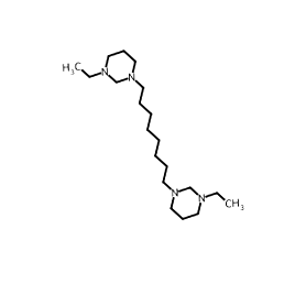 CCN1CCCN(CCCCCCCCN2CCCN(CC)C2)C1